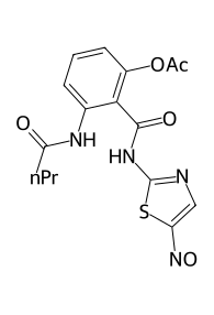 CCCC(=O)Nc1cccc(OC(C)=O)c1C(=O)Nc1ncc(N=O)s1